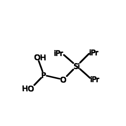 CC(C)[Si](OP(O)O)(C(C)C)C(C)C